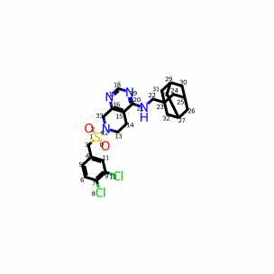 O=S(=O)(Cc1ccc(Cl)c(Cl)c1)N1CCc2c(ncnc2NCC23CC4CC(CC(C4)C2)C3)C1